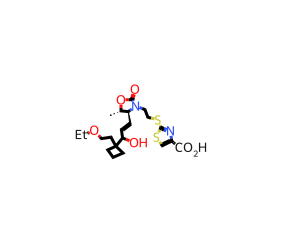 CCOCCC1(C(O)/C=C/[C@H]2[C@H](C)OC(=O)N2CCSc2nc(C(=O)O)cs2)CCC1